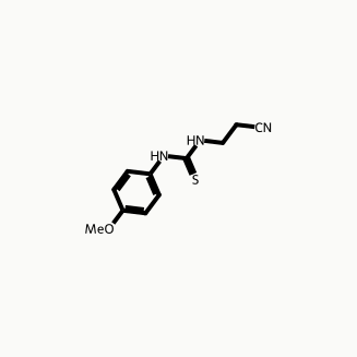 COc1ccc(NC(=S)NCCC#N)cc1